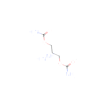 N.N.NC(=O)OCCCOC(N)=O